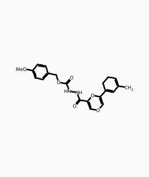 COc1ccc(COC(=O)NNC(=O)C2=COC=C(C3=CC(C)=CCC3)O2)cc1